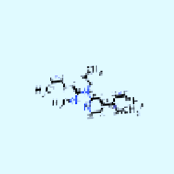 C=NC(=CC/C=C\C)N(CCC)c1cc(C(/C=C\C)=C/C)ccn1